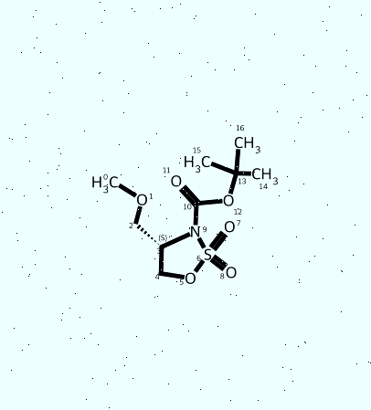 COC[C@H]1COS(=O)(=O)N1C(=O)OC(C)(C)C